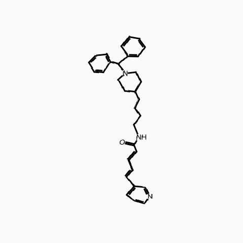 O=C(C=CC=Cc1cccnc1)NCCCCC1CCN(C(c2ccccc2)c2ccccc2)CC1